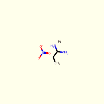 CCC(N)N.O=[N+]([O-])[O-].[Pt]